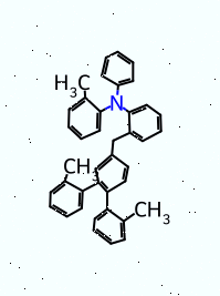 Cc1ccccc1-c1ccc(Cc2ccccc2N(c2ccccc2)c2ccccc2C)cc1-c1ccccc1C